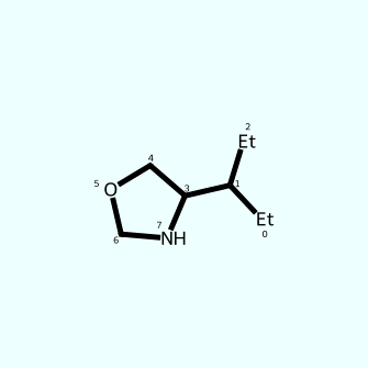 CCC(CC)C1COCN1